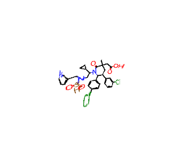 CC1(CC(=O)O)CC(c2cccc(Cl)c2)C(c2ccc(Cl)cc2)N(C(CN(Cc2cccnc2)[SH](=O)=O)C2CC2)C1=O